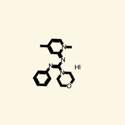 Cc1ccn(C)c(=NC(=Nc2ccccc2)N2CCOCC2)c1.I